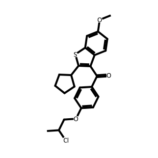 COc1ccc2c(C(=O)c3ccc(OCC(C)Cl)cc3)c(C3CCCC3)sc2c1